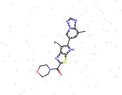 Cc1cc(-c2[nH]c3sc(C(=O)N4CCOCC4)nc3c2C(C)C)cn2ncnc12